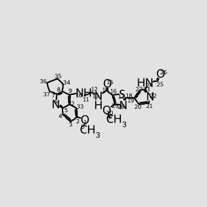 COc1ccc2nc3c(c(NCCNC(=O)c4sc(-c5ccnc(NC=O)c5)nc4OC)c2c1)CCCC3